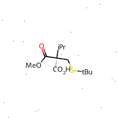 COC(=O)[C@@](CSC(C)(C)C)(C(=O)O)C(C)C